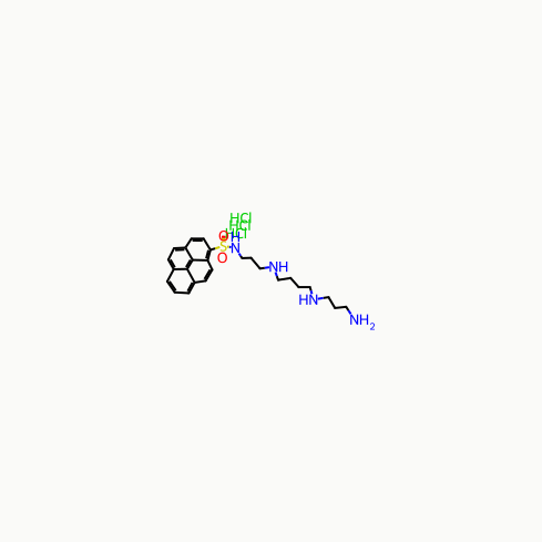 Cl.Cl.Cl.NCCCNCCCCNCCCNS(=O)(=O)c1ccc2ccc3cccc4ccc1c2c34